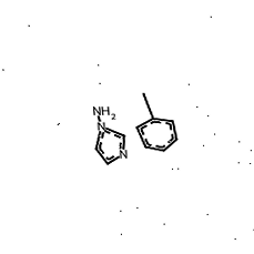 Cc1ccccc1.Nn1ccnc1